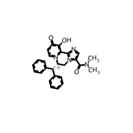 CN(C)C(=O)c1cnc2n1C[C@H](C(c1ccccc1)c1ccccc1)n1ccc(=O)c(O)c1-2